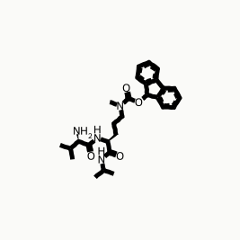 CC(C)NC(=O)[C@H](CCCN(C)C(=O)OC1c2ccccc2-c2ccccc21)NC(=O)[C@@H](N)C(C)C